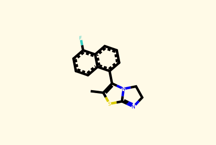 CC1=C(c2cccc3c(F)cccc23)N2CCN=C2S1